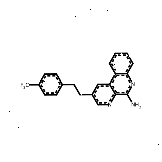 Nc1nc2ccccc2c2cc(CCc3ccc(C(F)(F)F)cc3)cnc12